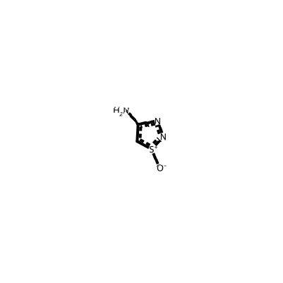 Nc1c[s+]([O-])nn1